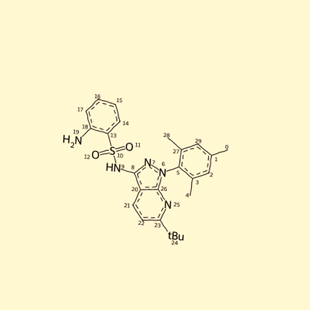 Cc1cc(C)c(-n2nc(NS(=O)(=O)c3ccccc3N)c3ccc(C(C)(C)C)nc32)c(C)c1